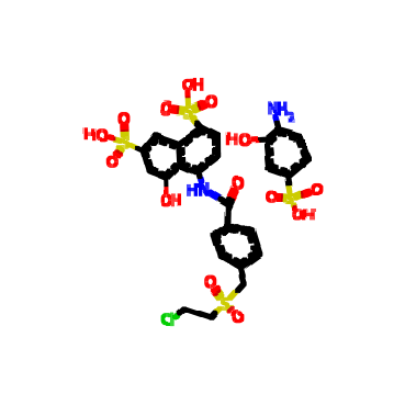 Nc1ccc(S(=O)(=O)O)cc1O.O=C(Nc1ccc(S(=O)(=O)O)c2cc(S(=O)(=O)O)cc(O)c12)c1ccc(CS(=O)(=O)CCCl)cc1